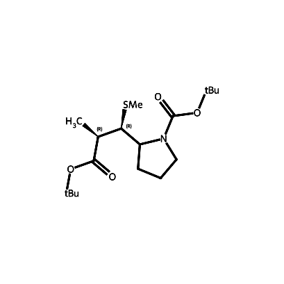 CS[C@@H](C1CCCN1C(=O)OC(C)(C)C)[C@H](C)C(=O)OC(C)(C)C